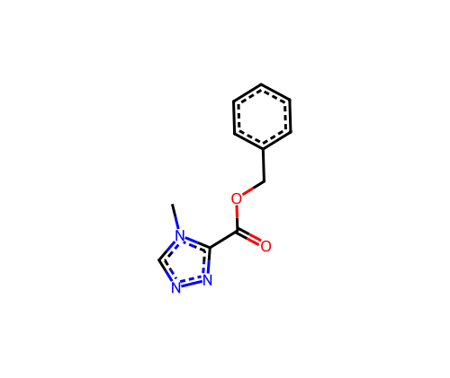 Cn1cnnc1C(=O)OCc1ccccc1